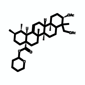 CC(=O)OCC1(C)C2CC[C@]3(C)[C@H](CC=C4[C@@H]5[C@@H](C)[C@H](C)CC[C@]5(C(=O)OC5CCCCO5)CC[C@]43C)[C@@]2(C)CC[C@@H]1OC(C)=O